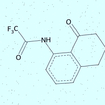 O=C1CCCc2cccc(NC(=O)C(F)(F)F)c21